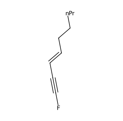 [CH2]CCCCC=CC#CF